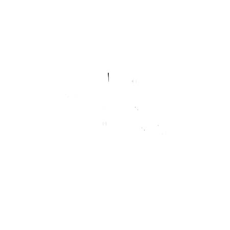 C=CCN(C(=O)OC(C)(C)C)C1=N[C@@H]2[C@@H](O)[C@H](O)[C@@H](CO[Si](C)(C)C(C)(C)C)O[C@@H]2S1